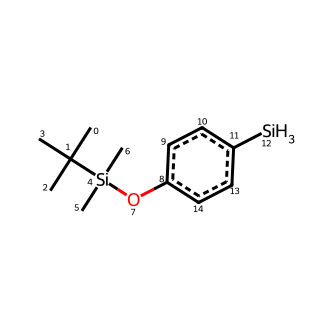 CC(C)(C)[Si](C)(C)Oc1ccc([SiH3])cc1